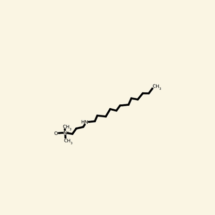 CCCCCCCCCCCCNCCC[N+](C)(C)[O-]